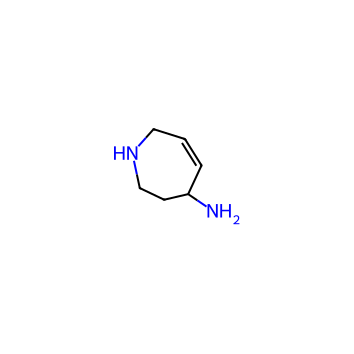 NC1C=CCNCC1